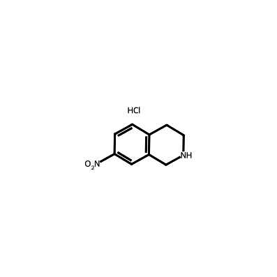 Cl.O=[N+]([O-])c1ccc2c(c1)CNCC2